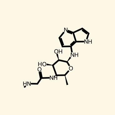 CNCC(=O)N[C@@H]1[C@@H](O)[C@@H](O)[C@@H](Nc2ccnc3cc[nH]c23)O[C@H]1C